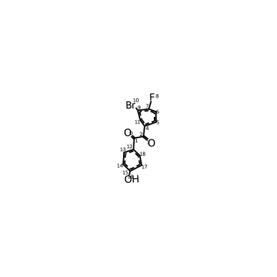 O=C(C(=O)c1ccc(F)c(Br)c1)c1ccc(O)cc1